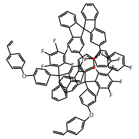 C=Cc1ccc(Oc2ccc(C3(c4c(F)c(F)c(F)c(F)c4F)c4ccccc4-c4ccc(N(c5ccc(F)cc5)c5ccc6c(c5)C5(c7ccccc7-6)c6ccccc6-c6ccc(N(c7ccc(F)cc7)c7ccc8c(c7)C(c7ccc(Oc9ccc(C=C)cc9)cc7)(c7c(F)c(F)c(F)c(F)c7F)c7ccccc7-8)cc65)cc43)cc2)cc1